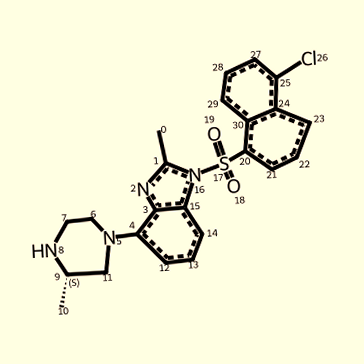 Cc1nc2c(N3CCN[C@@H](C)C3)cccc2n1S(=O)(=O)c1cccc2c(Cl)cccc12